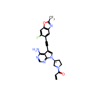 C=CC(=O)N1CC[C@H](n2cc(C#Cc3cc4nc(C(F)(F)F)oc4cc3F)c3c(N)ncnc32)C1